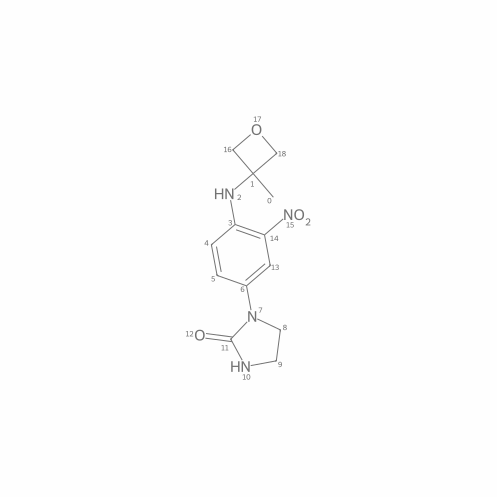 CC1(Nc2ccc(N3CCNC3=O)cc2[N+](=O)[O-])COC1